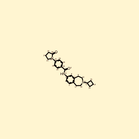 O=C(Nc1ccc2c(c1)CCN(C1CCC1)CC2)c1ccc(N2CCCC2=O)cc1